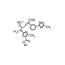 Cc1nc(-c2cccc(N(C=O)[C@@H](CC#N)CC(=O)N(C)c3nc(C)c(C(=O)OC(C)C)s3)c2)no1